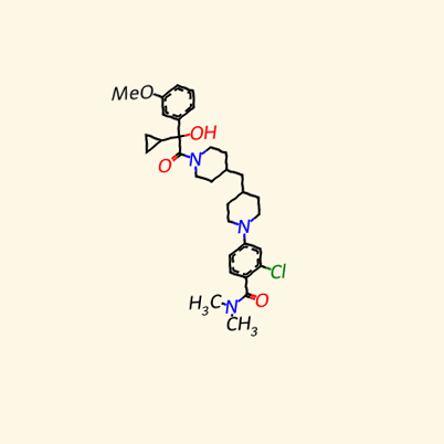 COc1cccc(C(O)(C(=O)N2CCC(CC3CCN(c4ccc(C(=O)N(C)C)c(Cl)c4)CC3)CC2)C2CC2)c1